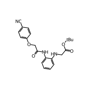 CC(C)(C)OC(=O)CNc1ccccc1NC(=O)COc1ccc(C#N)cc1